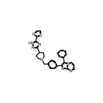 c1ccc(-c2c(-c3ccc(CN4CCC(c5n[nH]c(-c6nccs6)n5)CC4)cc3)nc3ncccn23)cc1